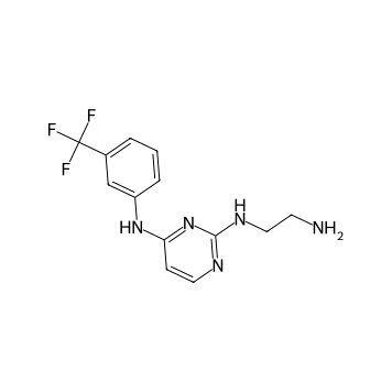 NCCNc1nccc(Nc2cccc(C(F)(F)F)c2)n1